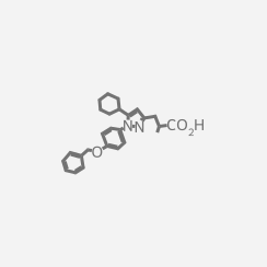 CC(Cc1cc(C2CCCCC2)n(-c2ccc(OCc3ccccc3)cc2)n1)C(=O)O